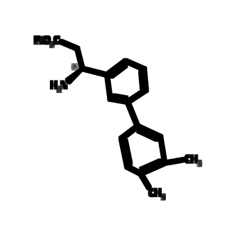 CCOC(=O)C[C@H](N)c1cccc(-c2ccc(C)c(C)c2)c1